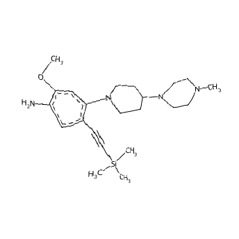 COc1cc(N2CCC(N3CCN(C)CC3)CC2)c(C#C[Si](C)(C)C)cc1N